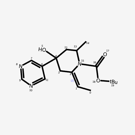 C/C=C1/CC(O)(c2cncnc2)CC(C)N1C(=O)OC(C)(C)C